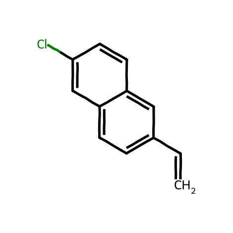 C=Cc1ccc2cc(Cl)ccc2c1